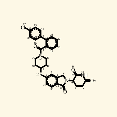 O=C1CCC(N2Cc3cc(SC4CCN(C(=O)c5ccccc5-c5ccc(Cl)cc5)CC4)ccc3C2=O)C(=O)N1